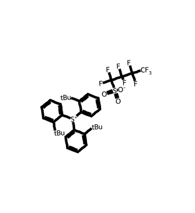 CC(C)(C)c1ccccc1[S+](c1ccccc1C(C)(C)C)c1ccccc1C(C)(C)C.O=S(=O)([O-])C(F)(F)C(F)(F)C(F)(F)C(F)(F)F